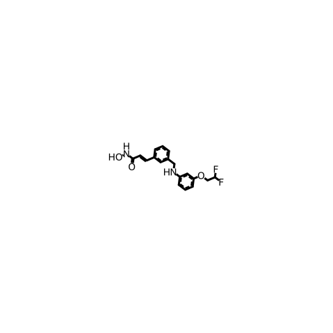 O=C(/C=C/c1cccc(CNc2cccc(OCC(F)F)c2)c1)NO